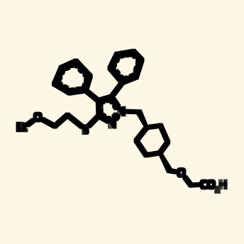 CCOCCSc1nn(C[C@H]2CC[C@@H](COCC(=O)O)CC2)c(-c2ccccc2)c1-c1ccccc1